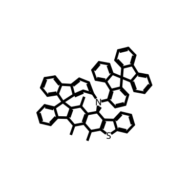 CC1C2=C3C(C)C4=C1C(C)c1sc5ccccc5c1C4(C)N(c1cccc4c1-c1ccccc1C41c4ccccc4-c4ccccc41)c1ccc4c(c1)C3(c1ccccc12)c1ccccc1-4